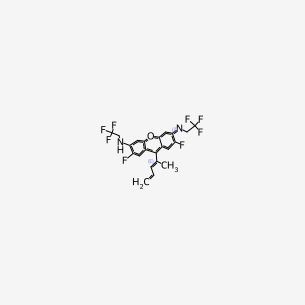 C=C/C=C(\C)c1c2cc(F)/c(=N\CC(F)(F)F)cc-2oc2cc(NCC(F)(F)F)c(F)cc12